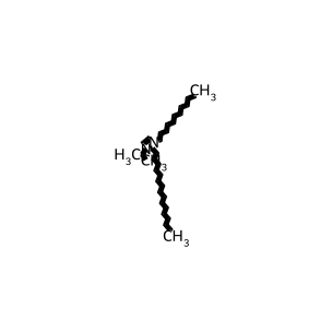 CCCCCCCCCCCCCCCCC1N(CCCCCCCCCCCC)C=CN1C(C)C